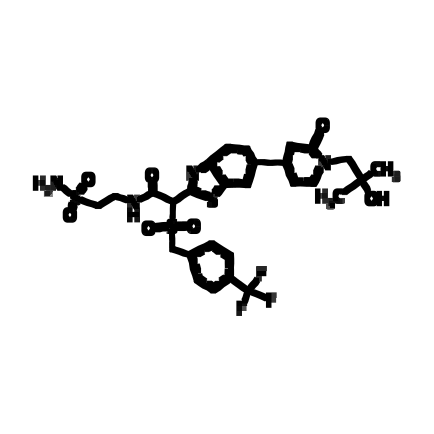 CC(C)(O)Cn1ccc(-c2ccc3nc(C(C(=O)NCCS(N)(=O)=O)S(=O)(=O)Cc4ccc(C(F)(F)F)cc4)sc3c2)cc1=O